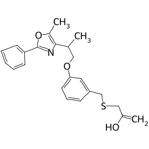 C=C(O)CSCc1cccc(OCC(C)c2nc(-c3ccccc3)oc2C)c1